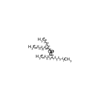 CCCCCCCCC(CCCCCC)COC(=O)OCC(CCCCCC)CCCCCCCC